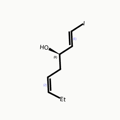 CC/C=C\C[C@@H](O)/C=C/I